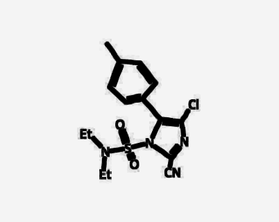 CCN(CC)S(=O)(=O)n1c(C#N)nc(Cl)c1-c1ccc(C)cc1